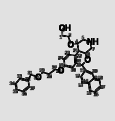 OCCOC1CNCC(OCc2ccc3ccccc3c2)C1c1ccc(OCCCOCc2ccccc2)cc1